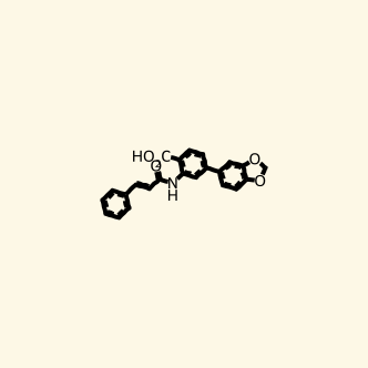 O=C(C=Cc1ccccc1)Nc1cc(-c2ccc3c(c2)OCO3)ccc1C(=O)O